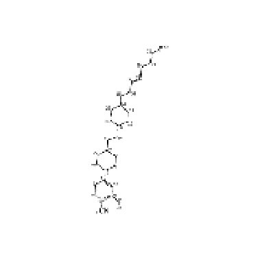 N#Cc1ccc([C@H]2CC[C@H](CC[C@H]3CC[C@H](CCC=CCCCF)CC3)CC2)cc1F